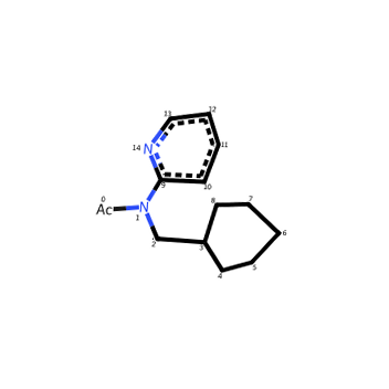 CC(=O)N([CH]C1CCCCC1)c1ccccn1